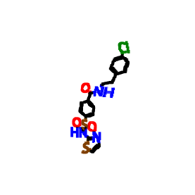 O=C(NCCc1ccc(Cl)cc1)c1ccc(S(=O)(=O)Nc2nccs2)cc1